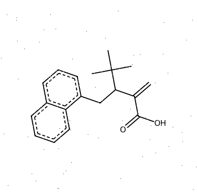 C=C(C(=O)O)C(Cc1cccc2ccccc12)C(C)(C)C